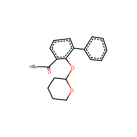 CCCCC(=O)c1cccc(-c2ccccc2)c1OC1CCCCO1